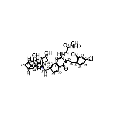 CNC(=O)CNc1nc2cc(N/C(=N/[C@H]3C[C@@H]4C[C@H]([C@@H]3C)C4(C)C)N3CC(O)C3)ccc2c(=O)n1CCc1ccc(Cl)cc1Cl